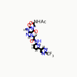 CC(=O)NC(=O)Cn1c(=O)c2c(ncn2[C@@H](C)C(=O)Nc2cccc(-c3cnc(C(F)(F)F)nc3)n2)n(C)c1=O